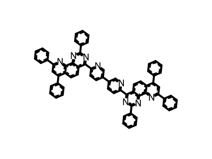 c1ccc(-c2cc(-c3ccccc3)c3ccc4c(-c5ccc(-c6ccc(-c7nc(-c8ccccc8)nc8c7ccc7c(-c9ccccc9)cc(-c9ccccc9)nc78)nc6)cn5)nc(-c5ccccc5)nc4c3n2)cc1